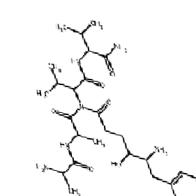 CC(N)C(=O)NC(C)C(=O)N(C(=O)CCC(O)C(N)Cc1ccccc1)C(C(=O)NC(C(N)=O)C(C)C)C(C)C